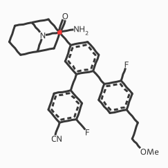 COCCc1ccc(-c2ccc(C(=O)N3C4CCCC3CC(N)C4)cc2-c2ccc(C#N)c(F)c2)c(F)c1